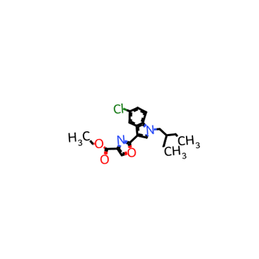 CCOC(=O)c1coc(-c2cn(CC(CC)CC)c3ccc(Cl)cc23)n1